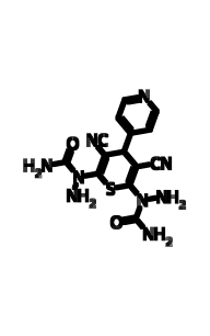 N#CC1=C(N(N)C(N)=O)SC(N(N)C(N)=O)=C(C#N)C1c1ccncc1